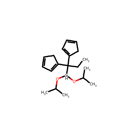 CCC(C1=CC=CC1)(C1=CC=CC1)[SiH](OC(C)C)OC(C)C